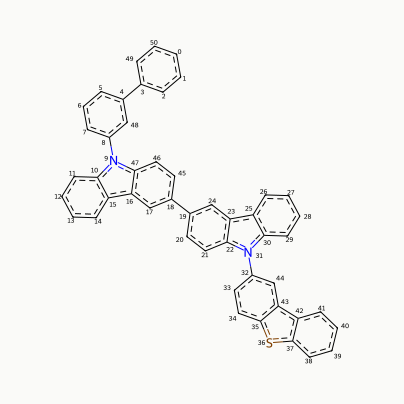 c1ccc(-c2cccc(-n3c4ccccc4c4cc(-c5ccc6c(c5)c5ccccc5n6-c5ccc6sc7ccccc7c6c5)ccc43)c2)cc1